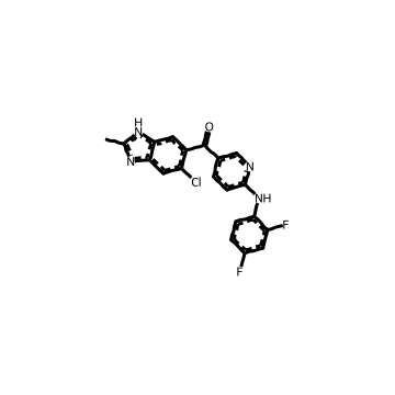 Cc1nc2cc(Cl)c(C(=O)c3ccc(Nc4ccc(F)cc4F)nc3)cc2[nH]1